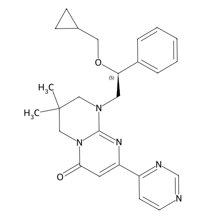 CC1(C)CN(C[C@@H](OCC2CC2)c2ccccc2)c2nc(-c3ccncn3)cc(=O)n2C1